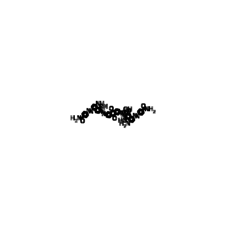 NC(=O)c1ccc(N=Nc2ccc(N)c3c(O)c(N=Nc4ccc5c(c4)C(=O)c4ccc(N=Nc6c(S(=O)(=O)O)cc7c(N=Nc8ccc(C(N)=O)cc8)ccc(N)c7c6O)cc4C5=O)ccc23)cc1